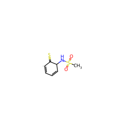 CS(=O)(=O)NC1C=CC=[C]C1=S